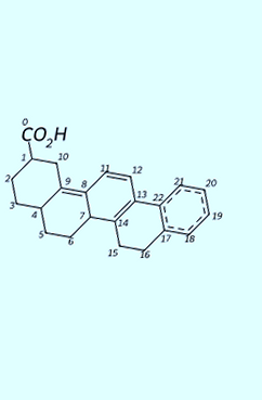 O=C(O)C1CCC2CCC3C(=C2C1)C=CC1=C3CCc2ccccc21